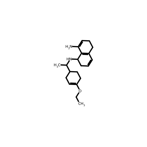 CCOC1=CCC(C(C)NC2CC=CC3=C2C(N)=CCC3)CC1